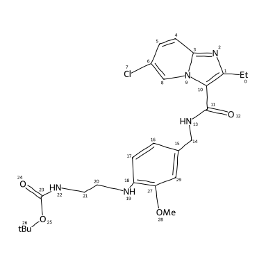 CCc1nc2ccc(Cl)cn2c1C(=O)NCc1ccc(NCCNC(=O)OC(C)(C)C)c(OC)c1